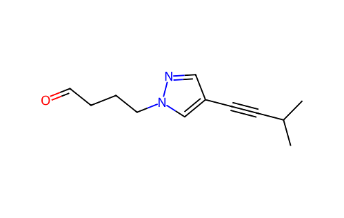 CC(C)C#Cc1cnn(CCCC=O)c1